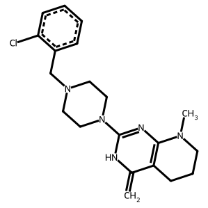 C=C1NC(N2CCN(Cc3ccccc3Cl)CC2)=NC2=C1CCCN2C